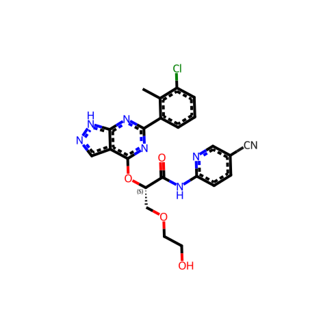 Cc1c(Cl)cccc1-c1nc(O[C@@H](COCCO)C(=O)Nc2ccc(C#N)cn2)c2cn[nH]c2n1